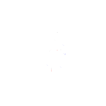 O=C(Nc1ccccc1)N[C@@H]1CN[C@H](C(=O)N2CCSC2OC(=O)C(F)(F)F)C1